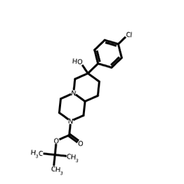 CC(C)(C)OC(=O)N1CCN2CC(O)(c3ccc(Cl)cc3)CCC2C1